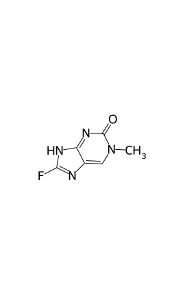 Cn1cc2nc(F)[nH]c2nc1=O